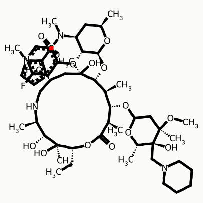 CC[C@H]1OC(=O)[C@H](C)[C@@H](OC2C[C@@](C)(OC)[C@](O)(CN3CCCCC3)[C@H](C)O2)[C@H](C)[C@@H](O[C@@H]2O[C@H](C)C[C@H](N(C)S(=O)(=O)c3nccn3C)[C@H]2Oc2ccnc(F)c2)[C@](C)(O)C[C@@H](C)CN[C@H](C)[C@@H](O)[C@]1(C)O